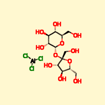 OC[C@H]1O[C@@](CO)(O[C@H]2O[C@H](CO)[C@@H](O)[C@H](O)[C@H]2O)[C@@H](O)[C@@H]1O.[Cl][Al]([Cl])[Cl]